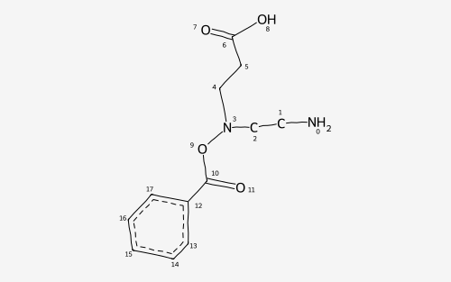 NCCN(CCC(=O)O)OC(=O)c1ccccc1